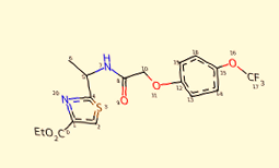 CCOC(=O)c1csc(C(C)NC(=O)COc2ccc(OC(F)(F)F)cc2)n1